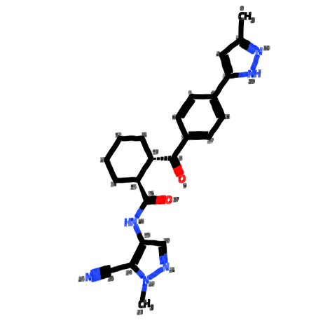 Cc1cc(-c2ccc(C(=O)[C@H]3CCCC[C@@H]3C(=O)Nc3cnn(C)c3C#N)cc2)[nH]n1